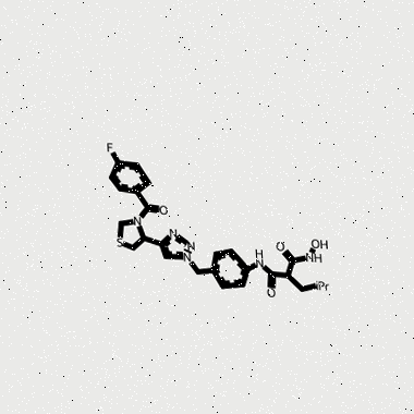 CC(C)CC(C(=O)NO)C(=O)Nc1ccc(Cn2cc(C3CSCN3C(=O)c3ccc(F)cc3)nn2)cc1